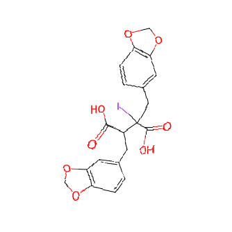 O=C(O)C(Cc1ccc2c(c1)OCO2)C(I)(Cc1ccc2c(c1)OCO2)C(=O)O